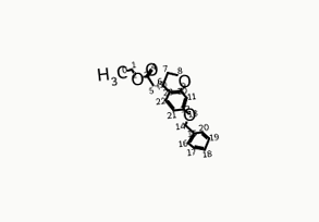 CCOC(=O)C[C@@H]1CCOc2cc(OCc3ccccc3)ccc21